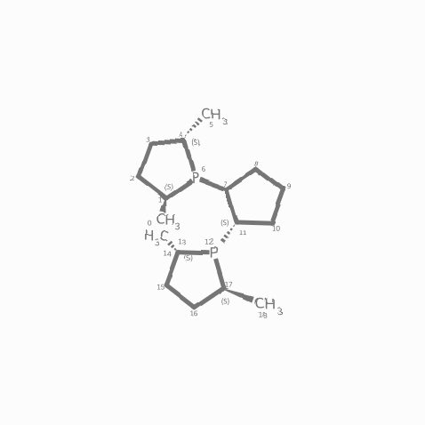 C[C@H]1CC[C@H](C)P1C1CCC[C@@H]1P1[C@@H](C)CC[C@@H]1C